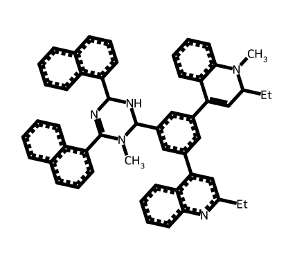 CCc1cc(-c2cc(C3=CC(CC)N(C)c4ccccc43)cc(C3NC(c4cccc5ccccc45)N=C(c4cccc5ccccc45)N3C)c2)c2ccccc2n1